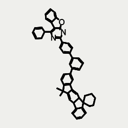 CC1(C)C2=CC3c4ccccc4C4(CCCCC4)C3C=C2c2cc(-c3cccc(-c4ccc(-c5nc(C6C=CC=CC6)c6c(n5)oc5ccccc56)cc4)c3)ccc21